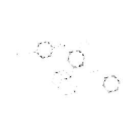 Cc1cc(OCc2ccccc2)c(C23CC4CC(CC(C4)C2)C3)cc1[Se]c1ccc(C(=O)O)cc1